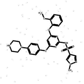 COc1ccccc1Oc1cc(Oc2ccc(N3CCNCC3)cc2)nc(NS(=O)(=O)c2cnn(C)c2)n1